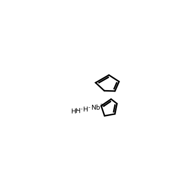 C1=CCC=C1.C1=CCC=C1.[H-].[H-].[H-].[Nb+3]